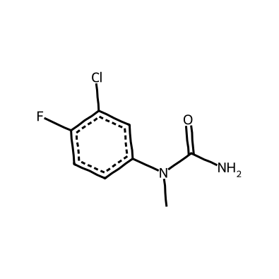 CN(C(N)=O)c1ccc(F)c(Cl)c1